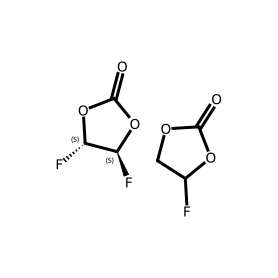 O=C1OCC(F)O1.O=C1O[C@@H](F)[C@H](F)O1